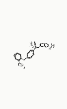 Cc1ccccc1Cc1ccc([C@@H](N)CC(=O)O)cc1